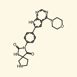 O=C1NC2(CCNC2)C(=O)N1c1ccc(-c2cc3c(N4CCOCC4)ncnc3[nH]2)cc1